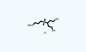 CCCCCCCCCCCC[N+](C)(C)C(CCO)CCO.[Cl-]